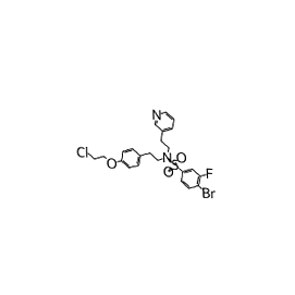 O=S(=O)(c1ccc(Br)c(F)c1)N(CCc1ccc(OCCCl)cc1)CCc1cccnc1